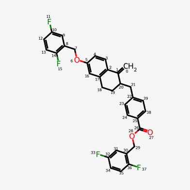 C=C1c2ccc(OCc3cc(F)ccc3F)cc2CCC1Cc1ccc(C(=O)OCc2cc(F)ccc2F)cc1